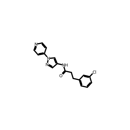 O=C(CCc1cccc(Cl)c1)Nc1cnn(-c2ccncc2)c1